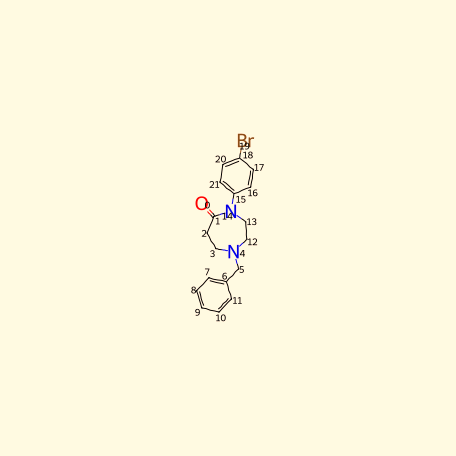 O=C1CCN(Cc2ccccc2)CCN1c1ccc(Br)cc1